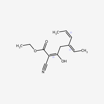 C/C=C\C(=C/C)C/C(O)=C(/C#N)C(=O)OCC